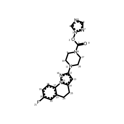 O=C(On1cncn1)N1CCN(c2cc3n(n2)-c2ccc(F)cc2CC3)CC1